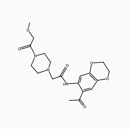 COCC(=O)N1CCN(CC(=O)Nc2cc3c(cc2C(C)=O)OCCO3)CC1